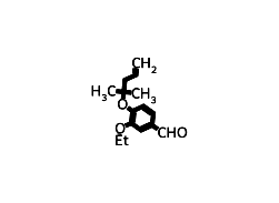 C=CCC(C)(C)Oc1ccc(C=O)cc1OCC